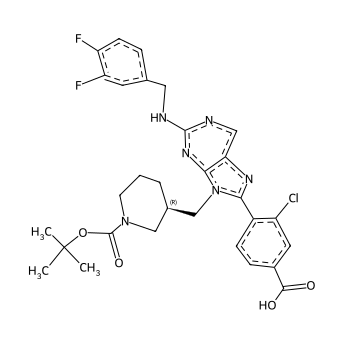 CC(C)(C)OC(=O)N1CCC[C@@H](Cn2c(-c3ccc(C(=O)O)cc3Cl)nc3cnc(NCc4ccc(F)c(F)c4)nc32)C1